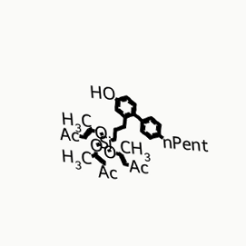 CCCCCc1ccc(-c2ccc(O)cc2CCC[Si](OC(C)=CC(C)=O)(OC(C)=CC(C)=O)OC(C)=CC(C)=O)cc1